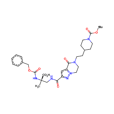 CC(C)(C)OC(=O)N1CCC(CCN2CCn3nc(C(=O)NC[C@](C)(NC(=O)OCc4ccccc4)C(=O)O)cc3C2=O)CC1